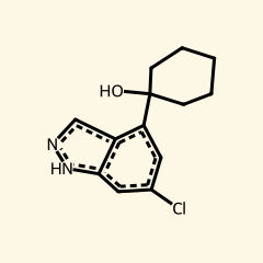 OC1(c2cc(Cl)cc3[nH]ncc23)CCCCC1